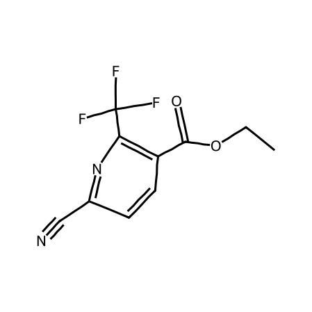 CCOC(=O)c1ccc(C#N)nc1C(F)(F)F